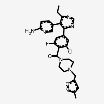 CCc1ncnc(-c2cc(F)c(C(=O)N3CCN(Cc4cc(C)no4)CC3)c(Cl)c2)c1-c1ccc(N)nc1